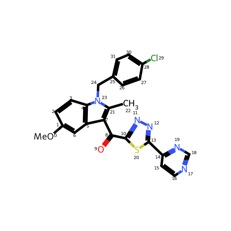 COc1ccc2c(c1)c(C(=O)c1nnc(-c3ccncn3)s1)c(C)n2Cc1ccc(Cl)cc1